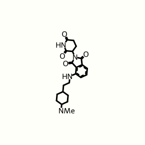 CNC1CCC(CCNc2cccc3c2C(=O)N(C2CCC(=O)NC2=O)C3=O)CC1